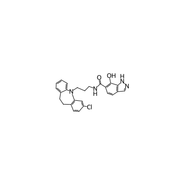 O=C(NCCCN1c2ccccc2CCc2ccc(Cl)cc21)c1ccc2cn[nH]c2c1O